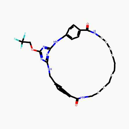 O=C1NCCCCCCCCCCCNC(=O)c2ccc(cc2)Nc2nc(nc(OCC(F)(F)F)n2)NCc2ccc1cc2